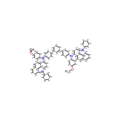 COc1ccc(N(c2ccc(-c3cccc(-c4ccc(N(c5ccc(OC)cc5)c5ccc6c7c5ccc5cccc(c57)n6-c5ccccc5)cc4)c3)cc2)c2ccc3c4c2ccc2cccc(c24)n3-c2ccccc2)cc1